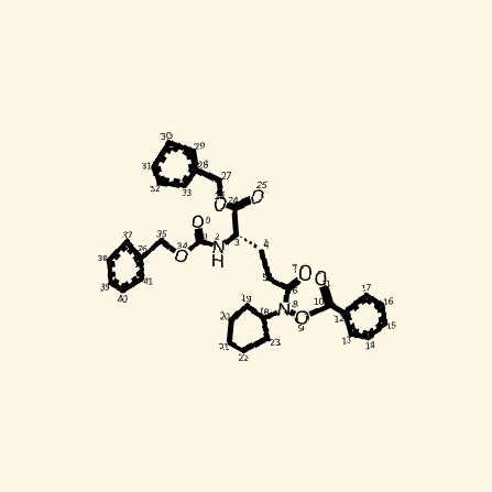 O=C(N[C@@H](CCC(=O)N(OC(=O)c1ccccc1)C1CCCCC1)C(=O)OCc1ccccc1)OCc1ccccc1